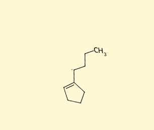 CCC[CH]C1=CCCC1